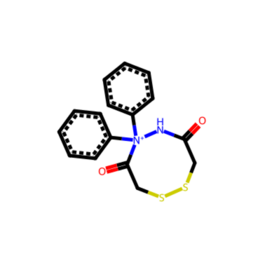 O=C1CSSCC(=O)[N+](c2ccccc2)(c2ccccc2)N1